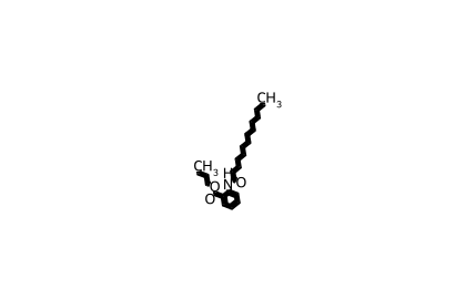 CCCCCCCCCCCCCC(=O)Nc1ccccc1C(=O)OCCCC